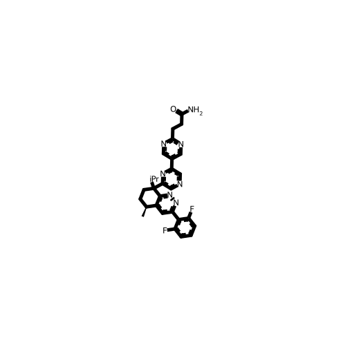 CC(C)C1(c2cncc(-c3cnc(CCC(N)=O)nc3)n2)CC[C@H](C)c2cc(-c3c(F)cccc3F)nnc21